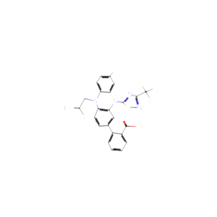 CC(C)CN(c1ccc(O)cc1)c1ccc(-c2ccccc2C(=O)O)cc1Nc1nc(C(F)(F)F)ns1